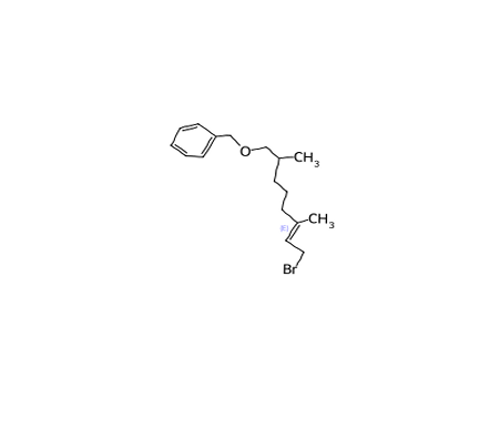 C/C(=C\CBr)CCCC(C)COCc1ccccc1